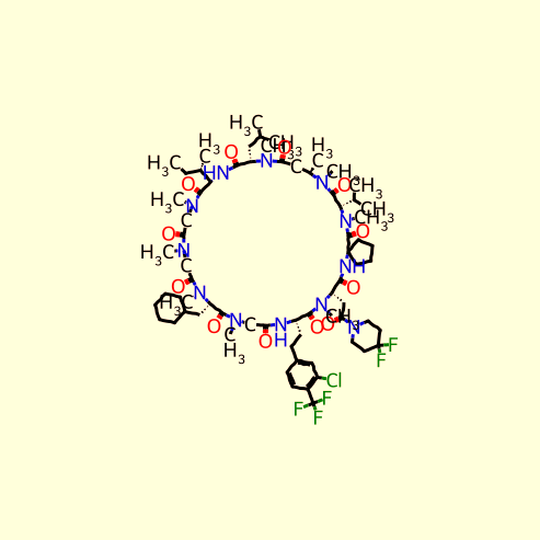 CC[C@H](C)[C@@H]1NC(=O)[C@H](CC(C)C)N(C)C(=O)C[C@@H](C)N(C)C(=O)[C@H](C(C)C)N(C)C(=O)C2(CCCC2)NC(=O)[C@H](CC(=O)N2CCC(F)(F)CC2)N(C)C(=O)[C@H](CCc2ccc(C(F)(F)F)c(Cl)c2)NC(=O)CN(C)C(=O)[C@H](CC2CCCCC2)N(C)C(=O)CN(C)C(=O)CN(C)C1=O